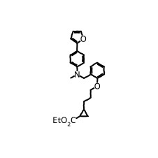 CCOC(=O)C1CC1CCCOc1ccccc1CN(C)c1ccc(-c2ccco2)cc1